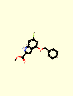 COC(=O)c1cc2c(OCc3ccccc3)cc(F)cc2[nH]1